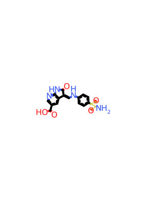 NS(=O)(=O)c1ccc(NC=C2C(=O)Nc3ncc(C(=O)O)cc32)cc1